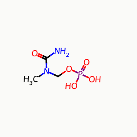 CN(COP(=O)(O)O)C(N)=O